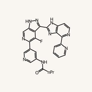 CCCC(=O)Nc1cncc(-c2ncc3[nH]nc(-c4nc5c(-c6ccccn6)nccc5[nH]4)c3c2F)c1